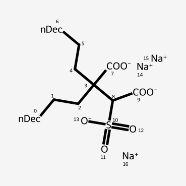 CCCCCCCCCCCCC(CCCCCCCCCCCC)(C(=O)[O-])C(C(=O)[O-])S(=O)(=O)[O-].[Na+].[Na+].[Na+]